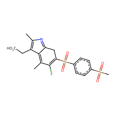 CC1=C(CC(=O)O)C2=C(C)C(F)=C(S(=O)(=O)c3ccc(S(C)(=O)=O)cc3)CC2=N1